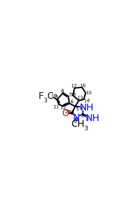 CN1C(=N)NC(c2ccc(C(F)(F)F)cc2)(C2CCCCC2)C1=O